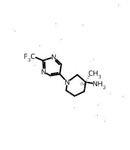 C[C@]1(N)CCCN(c2cnc(C(F)(F)F)nc2)C1